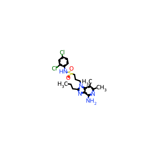 CCCc1nc2c(N)nc(C)c(C)c2n1CCCS(=O)(=O)Nc1ccc(Cl)cc1Cl